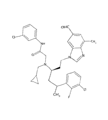 Cc1cc(C=O)cc2c1ncn2CC[C@@H](CC(C)c1cccc(Cl)c1F)N(CC(=O)Nc1cccc(Cl)c1)CC1CC1